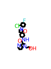 O=C(NC1CCC2(CC1)CCN(c1ccc(F)cc1Cl)C2=O)c1cn(CCO)c2cccnc12